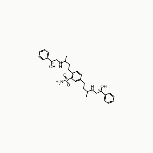 CC(CCc1ccc(CCC(C)NC[C@@H](O)c2ccccc2)c(S(N)(=O)=O)c1)NC[C@@H](O)c1ccccc1